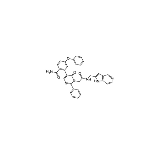 NC(=O)c1ccc(Oc2ccccc2)cc1-c1cnc(-c2ccccc2)n(CC(=O)NCc2cc3cnccc3[nH]2)c1=O